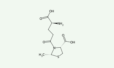 C[C@H]1SC[C@@H](C(=O)O)N1C(=O)CC[C@H](N)C(=O)O